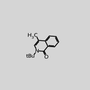 Cc1cn(C(C)(C)C)c(=O)c2ccccc12